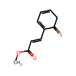 COC(=O)/C=C/C1=CC=CCC1=S